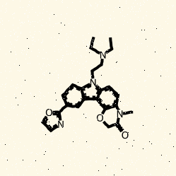 CCN(CC)CCn1c2ccc(-c3ncco3)cc2c2c3c(ccc21)N(C)C(=O)CO3